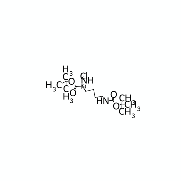 CC(C)(C)OC(=O)NCCCC[C@H](NCl)C(=O)OC(C)(C)C